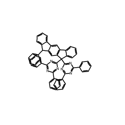 c1ccc(-c2nc(-c3ccccc3)nc(C3(c4nc(-c5ccccc5)nc(-c5ccccc5)n4)c4ccccc4-c4cc5c(cc43)C(c3ccccc3)c3ccccc3-5)n2)cc1